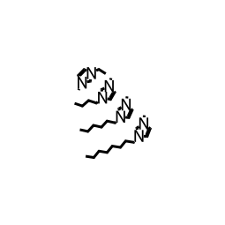 CCCCCCCCN1C=CN(C)C1.CCCCCCN1C=CN(C)C1.CCCCN1C=CN(C)C1.CCN1C=CN(C)C1